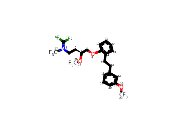 FC(F)N(CC[C@@H](COc1ccccc1CCc1cccc(OC(F)(F)F)c1)OC(F)(F)F)C(F)(F)F